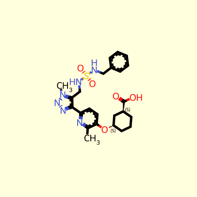 Cc1nc(-c2nnn(C)c2CNS(=O)(=O)NCc2ccccc2)ccc1O[C@H]1CCC[C@H](C(=O)O)C1